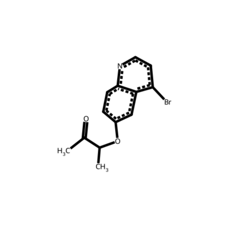 CC(=O)C(C)Oc1ccc2nccc(Br)c2c1